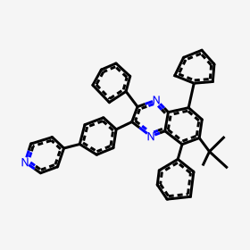 CC(C)(C)c1cc(-c2ccccc2)c2nc(-c3ccccc3)c(-c3ccc(-c4ccncc4)cc3)nc2c1-c1ccccc1